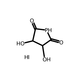 I.O=C1PC(=O)C(O)C1O